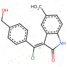 O=C1Nc2ccc(C(=O)O)cc2/C1=C(/Cl)c1ccc(CO)cc1